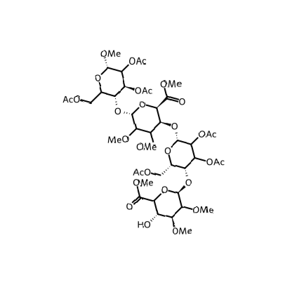 COC(=O)C1O[C@@H](O[C@H]2C(OC(C)=O)C(OC(C)=O)[C@@H](O[C@H]3C(OC)C(OC)[C@H](O[C@@H]4C(COC(C)=O)O[C@H](OC)C(OC(C)=O)[C@H]4OC(C)=O)O[C@H]3C(=O)OC)O[C@H]2COC(C)=O)C(OC)[C@@H](OC)[C@@H]1O